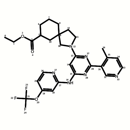 CCOC(=O)C1CCCC2(CCN(c3cc(Nc4cc(OC(F)(F)F)ccn4)nc(-c4cnccc4C)n3)C2)C1